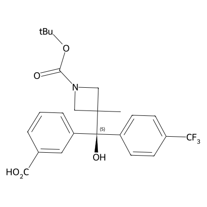 CC(C)(C)OC(=O)N1CC(C)([C@](O)(c2ccc(C(F)(F)F)cc2)c2cccc(C(=O)O)c2)C1